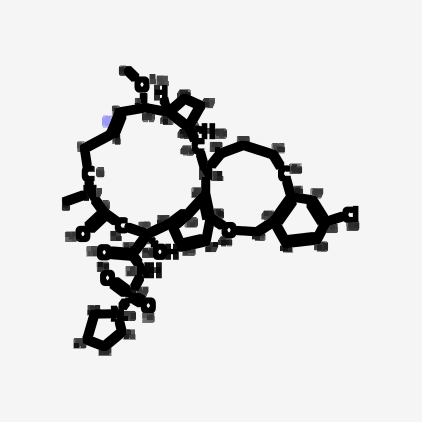 CO[C@H]1/C=C/CCN(C)C(=O)C[C@](O)(C(=O)NS(=O)(=O)N2CCCC2)c2ccc3c(c2)N(CCCCc2cc(Cl)ccc2CO3)C[C@@H]2CC[C@H]21